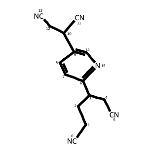 N#CCCC(CC#N)c1ccc(C(C#N)CC#N)cn1